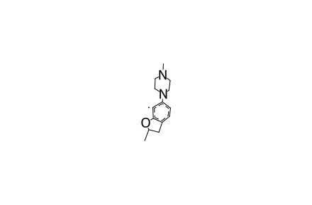 CC1Cc2ccc(N3CCN(C)CC3)[c]c2O1